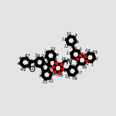 c1ccc(-c2cc(-c3ccccc3)cc(N(Cc3cccc4c3-c3ccccc3C43c4ccccc4-c4c3ccc3c4oc4ccccc43)c3c(-c4ccccc4)cccc3-c3ccccc3)c2)cc1